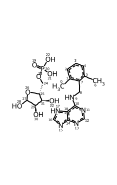 Cc1cccc(C)c1CNc1ncnc2nc[nH]c12.O=P(O)(O)OC[C@H]1OC(O)[C@H](O)[C@@H]1O